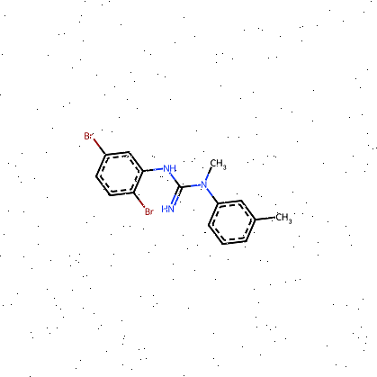 Cc1cccc(N(C)C(=N)Nc2cc(Br)ccc2Br)c1